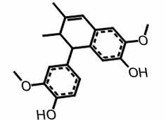 COc1cc(C2c3cc(O)c(OC)cc3C=C(C)C2C)ccc1O